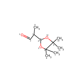 CC(C=O)B1OC(C)(C)C(C)(C)O1